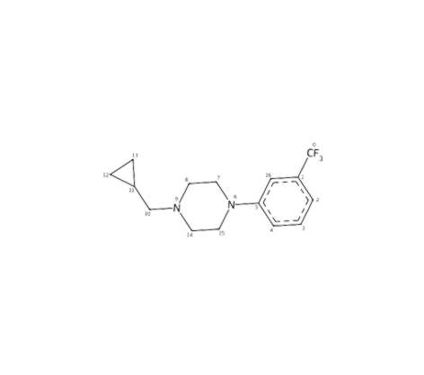 FC(F)(F)c1cccc(N2CCN(CC3CC3)CC2)c1